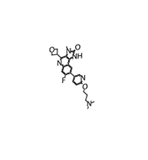 CN(C)CCCOc1ccc(-c2cc3c(cc2F)nc(C2COC2)c2c3[nH]c(=O)n2C)cn1